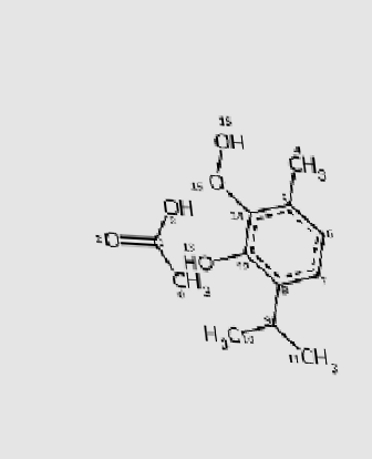 CC(=O)O.Cc1ccc(C(C)C)c(O)c1OO